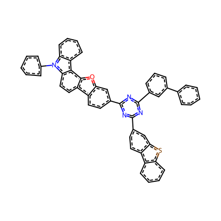 c1ccc(-c2cccc(-c3nc(-c4ccc5c(c4)oc4c5ccc5c4c4ccccc4n5-c4ccccc4)nc(-c4ccc5c(c4)sc4ccccc45)n3)c2)cc1